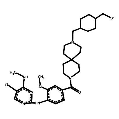 CNc1nc(Nc2ccc(C(=O)N3CCC4(CCN(CC5CCC(CBr)CC5)CC4)CC3)cc2OC)ncc1Cl